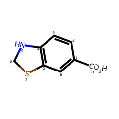 O=C(O)c1ccc2c(c1)SCN2